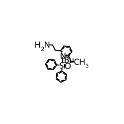 CC(O[Si](c1ccccc1)(c1ccccc1)C(C)(C)C)c1cccc(CCN)n1